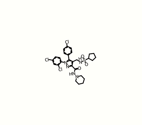 O=C(NN1CCCCC1)c1nn(-c2ccc(Cl)cc2Cl)c(-c2ccc(Cl)cc2)c1CNS(=O)(=O)C1CCCC1